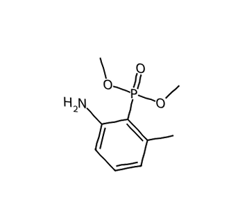 COP(=O)(OC)c1c(C)cccc1N